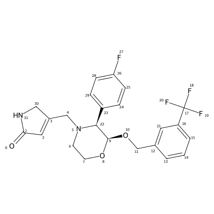 O=C1C=C(CN2CCO[C@H](OCc3cccc(C(F)(F)F)c3)[C@@H]2c2ccc(F)cc2)CN1